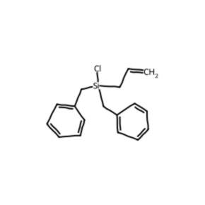 C=CC[Si](Cl)(Cc1ccccc1)Cc1ccccc1